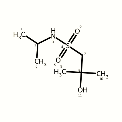 CC(C)NS(=O)(=O)CC(C)(C)O